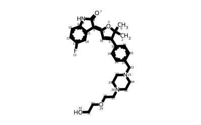 CC1(C)OC(=C2C(=O)Nc3ccc(F)cc32)C=C1c1ccc(CN2CCN(CCOCCO)CC2)cc1